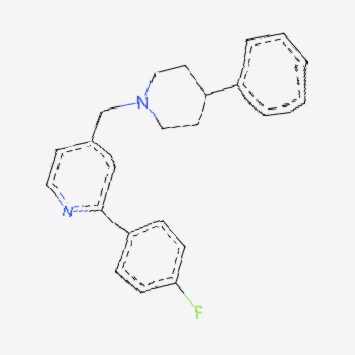 Fc1ccc(-c2cc(CN3CCC(c4ccccc4)CC3)ccn2)cc1